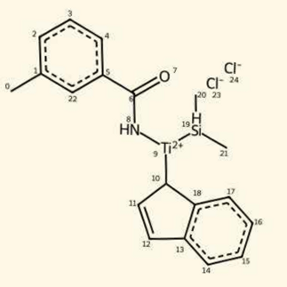 Cc1cccc(C(=O)[NH][Ti+2]([CH]2C=Cc3ccccc32)[SiH](C)C)c1.[Cl-].[Cl-]